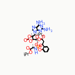 CC(C)OC(=O)CCc1ccccc1OP(=O)(N[C@@H](C)C(=O)OC(C)C)OC[C@H]1O[C@@H](n2cnc3c(N)nc(N)nc32)[C@]2(C)OC(=O)OC12